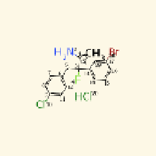 C[C@H](N)C(F)(Cc1ccc(Cl)cc1)c1cccc(Br)c1.Cl